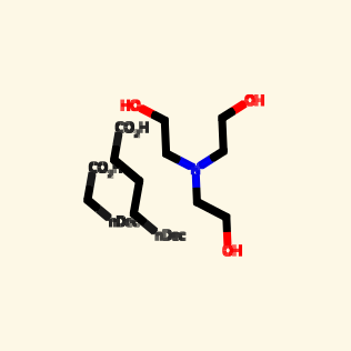 CCCCCCCCCCCC(=O)O.CCCCCCCCCCCCCC(=O)O.OCCN(CCO)CCO